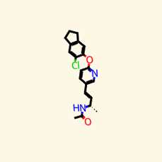 CC(=O)N[C@@H](C)/C=C/c1ccc(Oc2cc3c(cc2Cl)CCC3)nc1